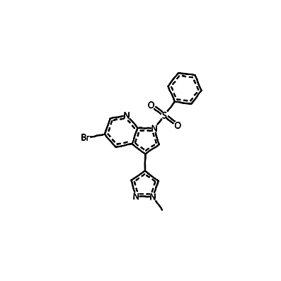 Cn1cc(-c2cn(S(=O)(=O)c3ccccc3)c3ncc(Br)cc23)cn1